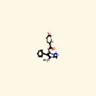 CC1=C(c2ccccc2)C(CC(=O)C2CCC(O)CC2)n2cncc21